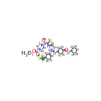 CCOC(=O)N1CCN(C(=O)c2csc(CN(Cc3ccc(OCc4ccccc4)cc3)Cc3cccc(C(F)(F)F)c3)n2)CC1